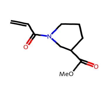 C=CC(=O)N1CCCC(C(=O)OC)C1